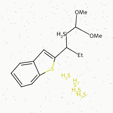 CCC([SiH2]C(OC)OC)c1cc2ccccc2s1.S.S.S.S